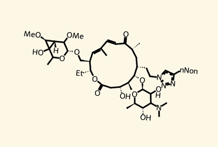 CCCCCCCCCc1cn(CC[C@H]2C[C@@H](C)C(=O)/C=C/C(C)=C/[C@H](CO[C@@H]3OC(C)C4(O)[C@@H](OC)[C@@H]4C3OC)[C@@H](CC)OC(=O)C[C@@H](O)[C@H](C)[C@H]2O[C@@H]2O[C@H](C)[C@@H](O)C(N(C)C)C2O)nn1